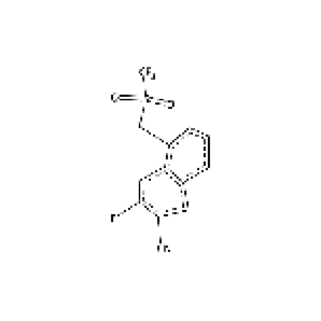 N#Cc1cc2cccc(CS(=O)(=O)C(F)(F)F)c2cc1F